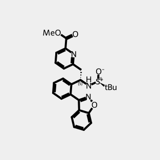 COC(=O)c1cccc(C[C@H](N[S@@+]([O-])C(C)(C)C)c2ccccc2-c2noc3ccccc23)n1